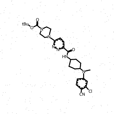 CN(c1ccc(C#N)c(Cl)c1)C1CCC(NC(=O)c2ccc(N3CCN(C(=O)OC(C)(C)C)CC3)nn2)CC1